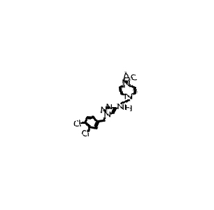 CC(=O)N1CCN(CCNc2cn(Cc3ccc(Cl)c(Cl)c3)nn2)CC1